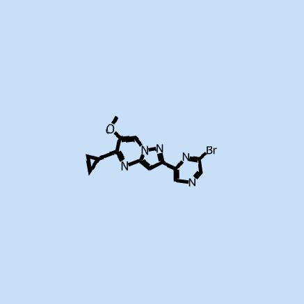 COc1cn2nc(-c3cncc(Br)n3)cc2nc1C1CC1